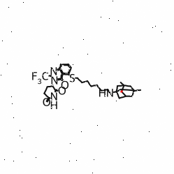 CC12CC3CC(C)(C1)CC(NCCCCCCCSc1cccc4nc(C(F)(F)F)n([C@H]5CCC(=O)NC5=O)c(=O)c14)(C3)C2